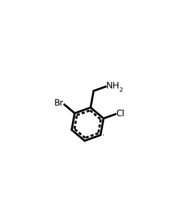 NCc1c(Cl)[c]ccc1Br